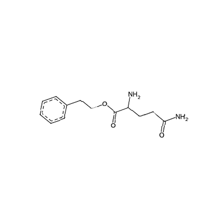 NC(=O)CCC(N)C(=O)OCCc1ccccc1